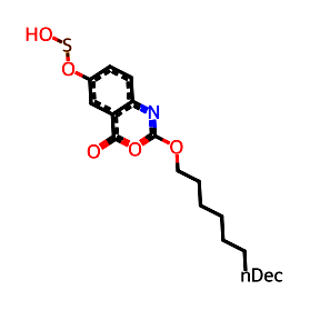 CCCCCCCCCCCCCCCCOc1nc2ccc(OSO)cc2c(=O)o1